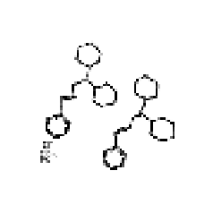 C(=Cc1ccccc1)CP(C1CCCCC1)C1CCCCC1.C(=Cc1ccccc1)CP(C1CCCCC1)C1CCCCC1.[Cl-].[Cl-].[Pd+2]